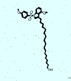 COc1ccc(S(=O)(=O)n2cc(CCCCCCCCCCCCCCCCCCO)c3c(OC)cccc32)cc1